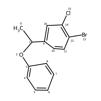 CC(Oc1ccccc1)c1ccc(Br)c(Cl)c1